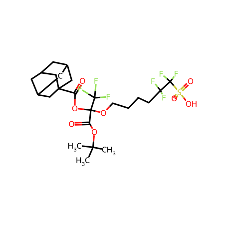 CC(C)(C)OC(=O)C(OCCCCC(F)(F)C(F)(F)S(=O)(=O)O)(OC(=O)C12CC3CC(CC(C3)C1)C2)C(F)(F)F